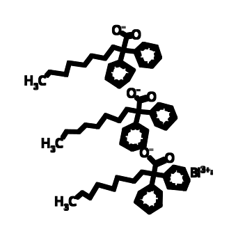 CCCCCCCCC(C(=O)[O-])(c1ccccc1)c1ccccc1.CCCCCCCCC(C(=O)[O-])(c1ccccc1)c1ccccc1.CCCCCCCCC(C(=O)[O-])(c1ccccc1)c1ccccc1.[Bi+3]